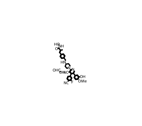 COc1ccc(-c2cnc(N3CCC(NCc4ccc(/C=C(\C)C(=O)NO)cc4)CC3)c(C#N)c2-c2ccc(C#N)c(F)c2)cc1O.O=CO